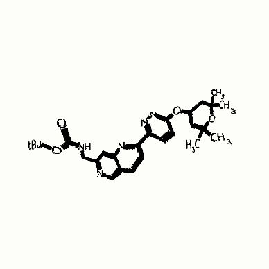 CC(C)(C)OC(=O)NCc1cc2nc(-c3ccc(OC4CC(C)(C)OC(C)(C)C4)nn3)ccc2cn1